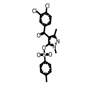 Cc1ccc(S(=O)(=O)Oc2c(C(=O)c3ccc(Cl)c(Cl)c3)c(C)nn2C)cc1